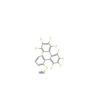 CCCCSc1ccccc1-c1c(F)c(F)c(F)c(F)c1-c1c(F)c(F)c(F)c(F)c1F